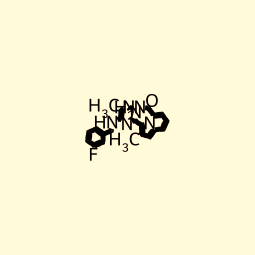 Cc1cc2cccc(C(N)=O)n2c1-c1nnc(C)c(NCc2cccc(F)c2)n1